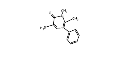 Cc1c(-c2ccccc2)cc(N)c(=O)n1C